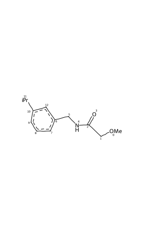 COCC(=O)NCc1cccc(C(C)C)c1